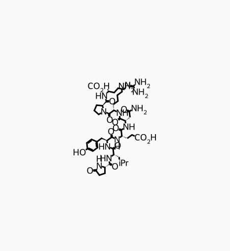 CC(C)C[C@H](NC(=O)[C@@H]1CCC(=O)N1)C(=O)N[C@@H](Cc1ccc(O)cc1)C(=O)N[C@@H](CCC(=O)O)C(=O)N[C@@H](CC(N)=O)C(=O)N[C@@H](CCCCN)C(=O)N1CCC[C@H]1C(=O)N[C@@H](CCCN=C(N)N)C(=O)O